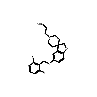 O=CCCN1CCC2(CC1)COc1ccc(OCc3c(F)cccc3F)cc12